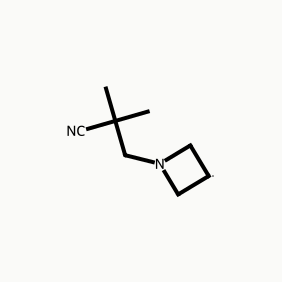 CC(C)(C#N)CN1C[CH]C1